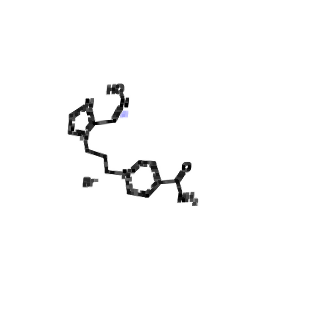 NC(=O)c1cc[n+](CCCn2ccnc2/C=N\O)cc1.[Br-]